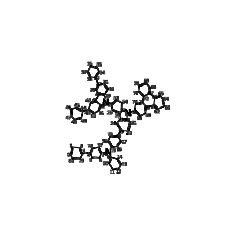 c1ccc(-c2ccc(N(c3ccccc3)c3ccc(-c4ccc5c(c4)c4cc(-n6c7ccc(-c8ccccc8)cc7c7cc(-c8ccccc8)ccc76)ccc4n5-c4ccc5c6ccccc6c6ccccc6c5c4)cc3)cc2)cc1